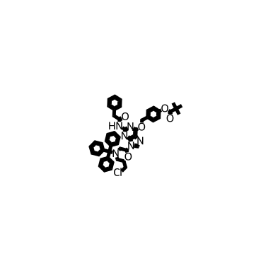 CC(C)(C)C(=O)Oc1ccc(COc2nc(NC(=O)Cc3ccccc3)nc3c2ncn3C2CN(C(c3ccccc3)(c3ccccc3)c3ccccc3)CC(CCl)O2)cc1